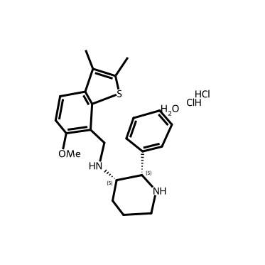 COc1ccc2c(C)c(C)sc2c1CN[C@H]1CCCN[C@H]1c1ccccc1.Cl.Cl.O